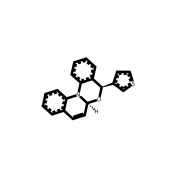 C1=C[C@@H]2O[C@H](c3ccsc3)c3ccccc3N2c2ccccc21